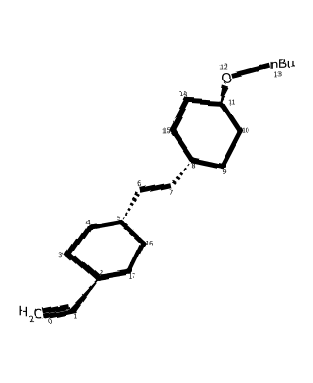 C=C[C@H]1CC[C@H](CC[C@H]2CC[C@H](OCCCC)CC2)CC1